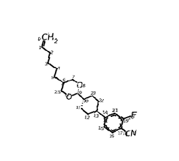 C=CCCCC[C@H]1CO[C@H]([C@H]2CC[C@H](c3ccc(C#N)c(F)c3)CC2)OC1